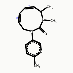 CC1/C=C\C=C/CN(c2ccc(N)nc2)C(=O)N1C